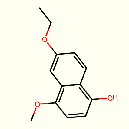 CCOc1ccc2c(O)ccc(OC)c2c1